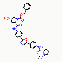 CC(=O)N1CCC[C@H]1C(=O)Nc1ccc(-c2cnc(-c3ccc(NC(=O)[C@@H]4C[C@@H](O)CN4C(=O)OCc4ccccc4)cc3)o2)cc1